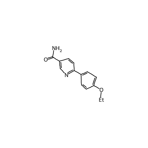 CCOc1ccc(-c2ccc(C(N)=O)cn2)cc1